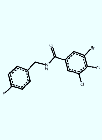 O=C(NCc1ccc(F)cc1)c1cc(Cl)c(Cl)c(Br)c1